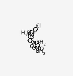 BC1CC(=O)N(B)C(=O)C1N1Cc2cc(CN(B)C(=O)C(F)(F)c3ccc(Cl)cc3)ccc2C1=O